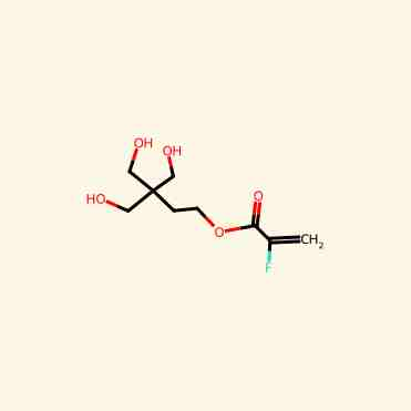 C=C(F)C(=O)OCCC(CO)(CO)CO